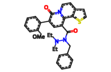 CCN(CC)N(Cc1ccccc1)C(=O)c1cc(-c2ccccc2OC)c(=O)n2ccc3ccsc3c12